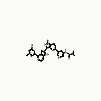 Cc1cc(F)cc(-c2nccc3[nH]c(-c4n[nH]c5ccc(-c6cncc(NC(=O)C(C)C)c6)nc45)cc23)c1